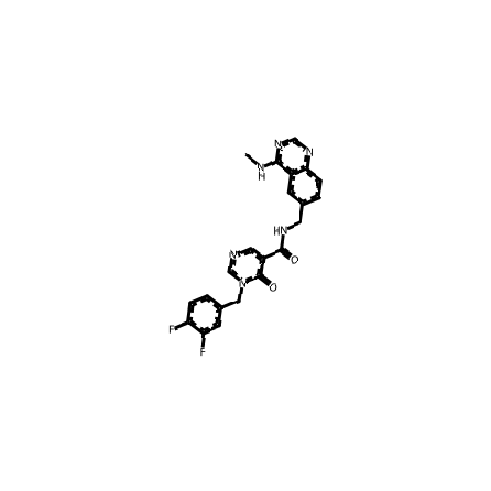 CNc1ncnc2ccc(CNC(=O)c3cncn(Cc4ccc(F)c(F)c4)c3=O)cc12